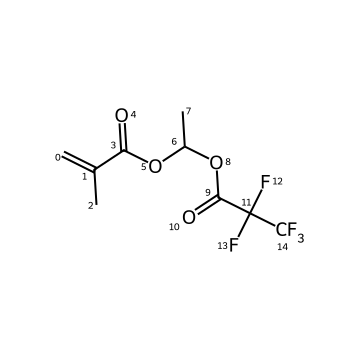 C=C(C)C(=O)OC(C)OC(=O)C(F)(F)C(F)(F)F